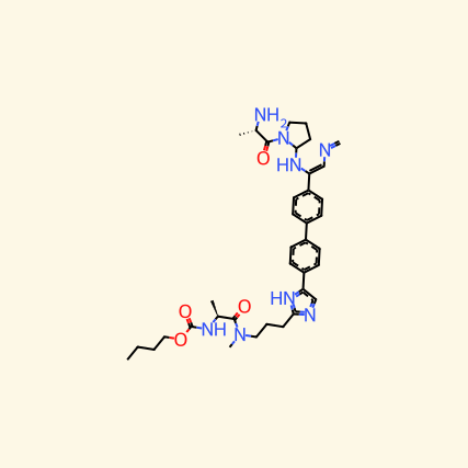 C=N/C=C(\NC1CCCN1C(=O)[C@H](C)N)c1ccc(-c2ccc(-c3cnc(CCCN(C)C(=O)[C@H](C)NC(=O)OCCCC)[nH]3)cc2)cc1